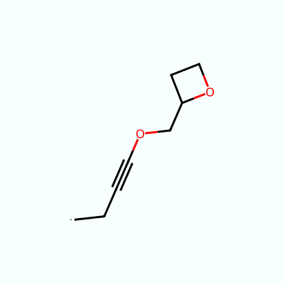 [CH2]CC#COCC1CCO1